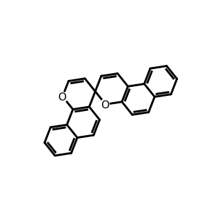 C1=CC2(C=Cc3c(ccc4ccccc34)O2)c2ccc3ccccc3c2O1